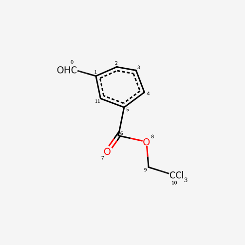 O=Cc1cccc(C(=O)OCC(Cl)(Cl)Cl)c1